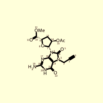 C#CCn1c(=O)n([C@@H]2O[C@H](C(=O)OC)C[C@H]2OC(C)=O)c2nc(N)[nH]c(=O)c21